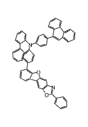 c1ccc(-c2nc3cc4oc5c(-c6ccc(N(c7ccc(-c8cc9ccccc9c9ccccc89)cc7)c7ccccc7-c7ccccc7)cc6)cccc5c4cc3o2)cc1